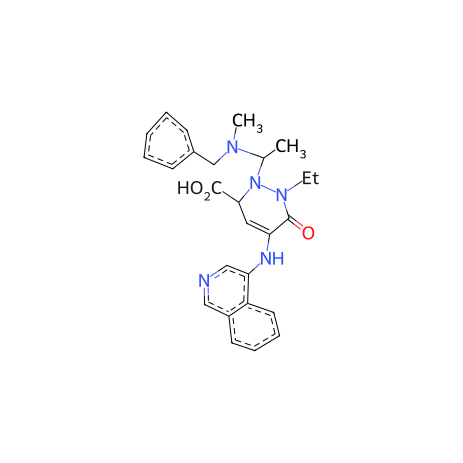 CCN1C(=O)C(Nc2cncc3ccccc23)=CC(C(=O)O)N1C(C)N(C)Cc1ccccc1